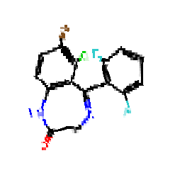 O=C1CN=C(c2c(F)cccc2F)c2c(ccc(Br)c2Cl)N1